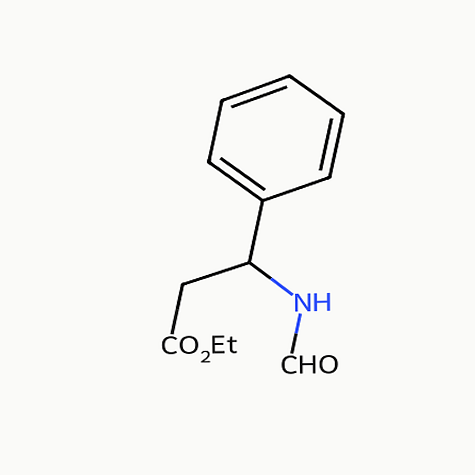 CCOC(=O)CC(NC=O)c1ccccc1